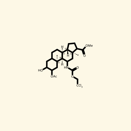 COC(=O)C1CC[C@H]2[C@@H]3CCC4CC(O)C(OC(C)=O)C[C@]4(C)[C@@H]3C(NC(=O)OCC(Cl)(Cl)Cl)C[C@]12C